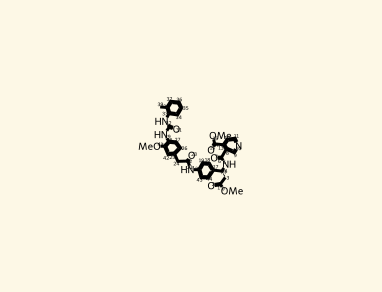 COC(=O)C[C@@H](NC(=O)c1cnccc1C(=O)OC)c1ccc(NC(=O)Cc2ccc(NC(=O)Nc3ccccc3C)c(OC)c2)cc1